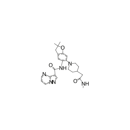 CNC(=O)CC1CCN(c2cc3c(cc2NC(=O)c2cnn4cccnc24)CC(C)(C)O3)CC1